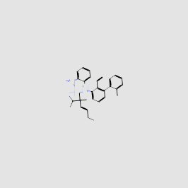 C=Cc1c(-c2ccccc2C)cccc1N(CC(C)(C=CCC)C(C)C)c1ccccc1NC